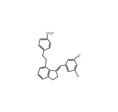 O=C(O)c1ccc(CCc2cccc3c2/C(=C/c2cc(Cl)cc(Cl)c2)CC3)cc1